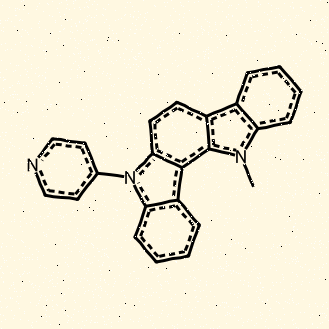 Cn1c2ccccc2c2ccc3c(c4ccccc4n3-c3ccncc3)c21